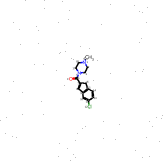 CN1CCN(C(=O)C2=Cc3cc(Cl)ccc3C2)CC1